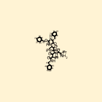 CC(C)CC(NC(=O)[C@H](Cc1ccccc1)NC(=O)OCc1ccccc1)C(=O)C(F)(F)C(NC(=O)[C@@H](N)C(C)C)C(=O)C(C(=O)NCc1ccccc1)C(C)C